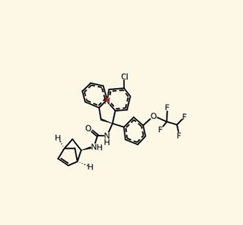 O=C(N[C@@H]1C[C@@H]2C=C[C@H]1C2)N[C@@](Cc1ccccc1)(c1cccc(OC(F)(F)C(F)F)c1)c1ccc(Cl)cn1